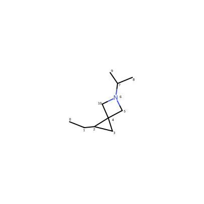 CCC1CC12CN(C(C)C)C2